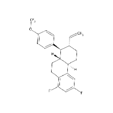 C=C[C@@H]1CC[C@H]2c3cc(F)cc(F)c3CC[C@@H]2[C@H]1c1ccc(OC(F)(F)F)cc1